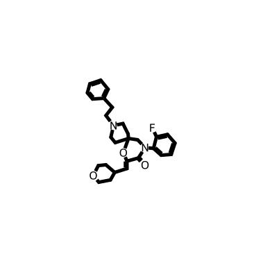 O=C1C(=CC2CCOCC2)OC2(CCN(CCc3ccccc3)CC2)CN1c1ccccc1F